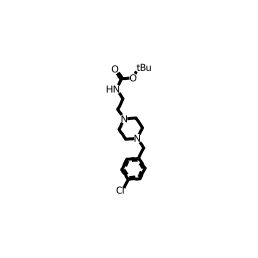 CC(C)(C)OC(=O)NCCN1CCN(Cc2ccc(Cl)cc2)CC1